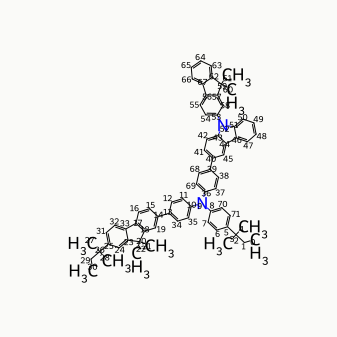 CCC(C)(C)c1ccc(N(c2ccc(-c3ccc4c(c3)C(C)(C)c3cc(C(C)(C)CC)ccc3-4)cc2)c2ccc(-c3ccc4c(c3)c3ccccc3n4-c3ccc4c(c3)C(C)(C)c3ccccc3-4)cc2)cc1